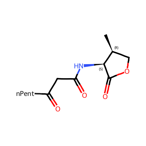 CCCCCC(=O)CC(=O)N[C@@H]1C(=O)OC[C@@H]1C